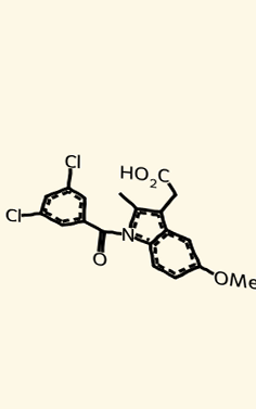 COc1ccc2c(c1)c(CC(=O)O)c(C)n2C(=O)c1cc(Cl)cc(Cl)c1